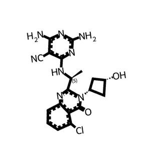 C[C@H](Nc1nc(N)nc(N)c1C#N)c1nc2cccc(Cl)c2c(=O)n1[C@H]1C[C@@H](O)C1